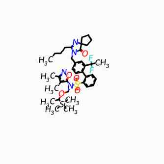 CCCCC1=NC2(CCCC2)C(=O)N1Cc1ccc(-c2ccccc2S(=O)(=O)N(COC(C)[Si](C)(C)C)c2onc(C)c2C)c(C(C)(F)F)c1